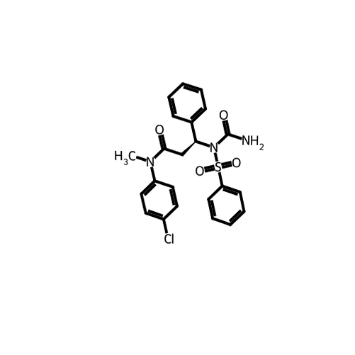 CN(C(=O)C[C@@H](c1ccccc1)N(C(N)=O)S(=O)(=O)c1ccccc1)c1ccc(Cl)cc1